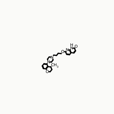 CC1CCOc2cccc(N3CCN(CCCCOc4ccc5ccc(=O)[nH]c5n4)CC3)c21